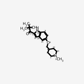 CN1CCC(COc2ccc3[nH]c(C(=O)C(C)(C)C)cc3c2)CC1